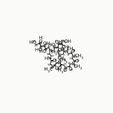 CN(C)CC(=O)N(C)CC(=O)N(C)CC(=O)N(C)CC(=O)N(C)CC(=O)N(C)CC(=O)N(C)CC(=O)NCCN(C[C@H](O)[C@@H](O)[C@H](O)[C@H](O)CO)C[C@H](O)[C@@H](O)[C@H](O)[C@H](O)CO